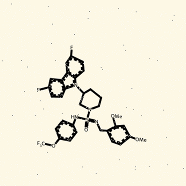 COc1ccc(CN=S(=O)(Nc2ccc(OC(F)(F)F)cc2)N2CCCC(n3c4ccc(F)cc4c4cc(F)ccc43)C2)c(OC)c1